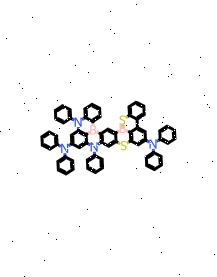 c1ccc(N(c2ccccc2)c2cc3c4c(c2)-c2ccccc2SB4c2cc4c(cc2S3)N(c2ccccc2)c2cc(N(c3ccccc3)c3ccccc3)cc3c2B4c2ccccc2N3c2ccccc2)cc1